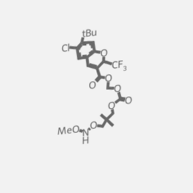 CONOCC(C)(C)COC(=O)OCOC(=O)C1=Cc2cc(Cl)c(C(C)(C)C)cc2OC1C(F)(F)F